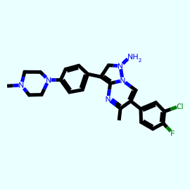 CC1=NC2=C(c3ccc(N4CCN(C)CC4)cc3)CN(N)N2C=C1c1ccc(F)c(Cl)c1